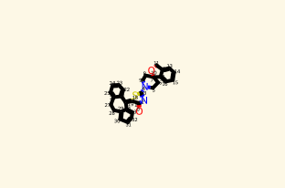 O=C1N=C(N2CCC3(CC2)OCc2ccccc23)SC1=C1c2ccccc2CCc2ccccc21